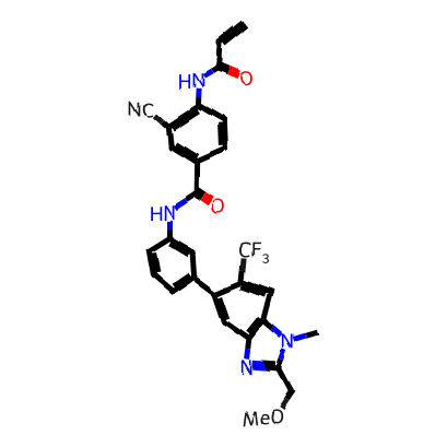 C=CC(=O)Nc1ccc(C(=O)Nc2cccc(-c3cc4nc(COC)n(C)c4cc3C(F)(F)F)c2)cc1C#N